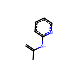 C=C(C)Nc1ccccn1